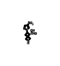 O=CO.O=[N+]([O-])c1cnn(C2CC3(CNC3)C2)c1